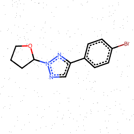 Brc1ccc(-c2cnn(C3CCCO3)n2)cc1